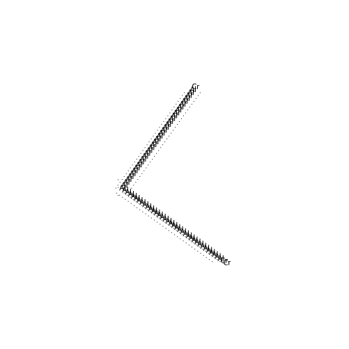 [Al].[Al].[Al].[Al].[Al].[Al].[Al].[Al].[Al].[Al].[Al].[Al].[Al].[Al].[Al].[Al].[Al].[Al].[Al].[Al].[Al].[Al].[Al].[Al].[Al].[Al].[Al].[Al].[Al].[Al].[Al].[Al].[Al].[Al].[Al].[Al].[Al].[Al].[Al].[Al].[Al].[Al].[Al].[Al].[Al].[Al].[Al].[Al].[Al].[Al].[Al].[Al].[Al].[Al].[Al].[Al].[Al].[Al].[Al].[Al].[Al].[Al].[Al].[Al].[Al].[Al].[Al].[Al].[Al].[Cr].[Cr].[Cr]